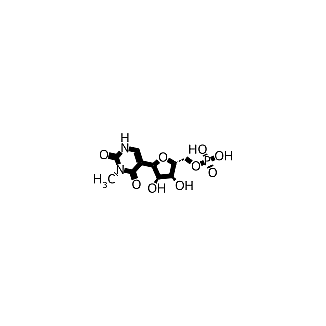 Cn1c(=O)[nH]cc(C2O[C@H](COP(=O)(O)O)[C@@H](O)[C@H]2O)c1=O